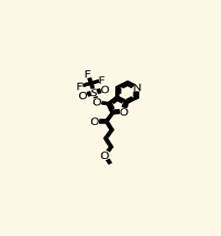 COCCCC(=O)c1oc2cnccc2c1OS(=O)(=O)C(F)(F)F